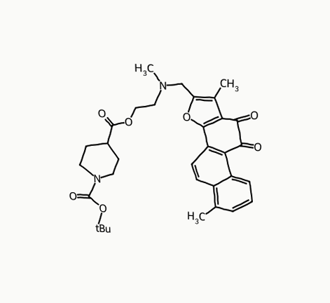 Cc1c(CN(C)CCOC(=O)C2CCN(C(=O)OC(C)(C)C)CC2)oc2c1C(=O)C(=O)c1c-2ccc2c(C)cccc12